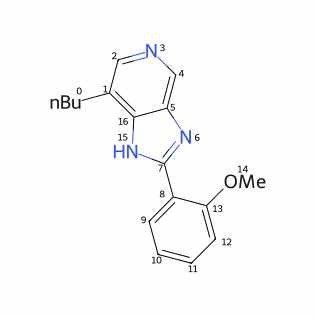 CCCCc1cncc2nc(-c3ccccc3OC)[nH]c12